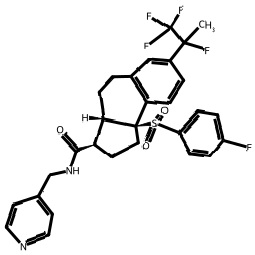 CC(F)(c1ccc2c(c1)CC[C@H]1[C@H](C(=O)NCc3ccncc3)CC[C@@]21S(=O)(=O)c1ccc(F)cc1)C(F)(F)F